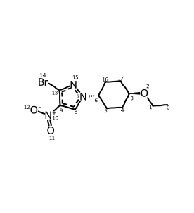 CCO[C@H]1CC[C@H](n2cc([N+](=O)[O-])c(Br)n2)CC1